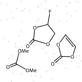 COC(=O)OC.O=C1OCC(F)O1.O=c1occo1